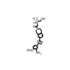 CC(C)Oc1ccc(-c2nc(-c3ccc4c(c3)CCN(C(=O)CN[C@H](C)CO)CC4)no2)cc1N